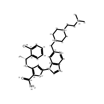 C[C@@H](Oc1cc(-n2cnc3cnc(CN4CCN(CCN(C)C)CC4)cc32)sc1C(N)=O)c1ccccc1Cl